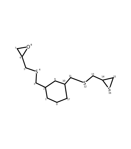 C1CC(CSCC2CO2)CC(CSCC2CS2)C1